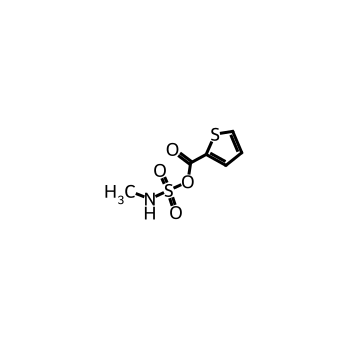 CNS(=O)(=O)OC(=O)c1cccs1